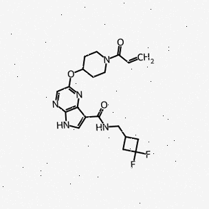 C=CC(=O)N1CCC(Oc2cnc3[nH]cc(C(=O)NCC4CC(F)(F)C4)c3n2)CC1